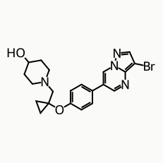 OC1CCN(CC2(Oc3ccc(-c4cnc5c(Br)cnn5c4)cc3)CC2)CC1